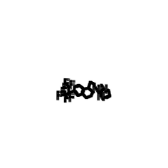 FC(F)(F)C(F)(c1ccc2c(c1)CCC1C2CCN1c1ncccn1)C(F)(F)F